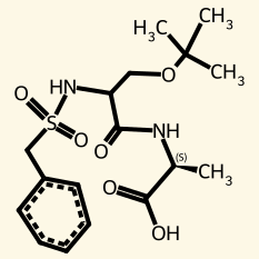 C[C@H](NC(=O)C(COC(C)(C)C)NS(=O)(=O)Cc1ccccc1)C(=O)O